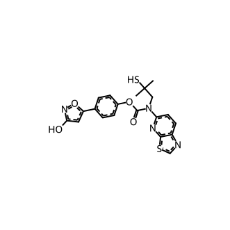 CC(C)(S)CN(C(=O)Oc1ccc(-c2cc(O)no2)cc1)c1ccc2ncsc2n1